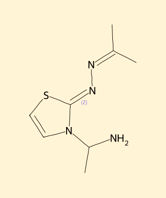 CC(C)=N/N=c1\sccn1C(C)N